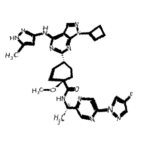 CO[C@]1(C(=O)N[C@@H](C)c2cnc(-n3cc(F)cn3)cn2)CC[C@@H](c2nc(Nc3cc(C)[nH]n3)c3cnn(C4CCC4)c3n2)CC1